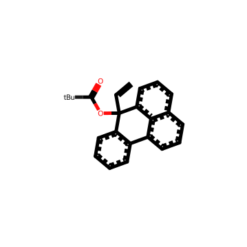 C=CC1(OC(=O)C(C)(C)C)c2ccccc2-c2cccc3cccc1c23